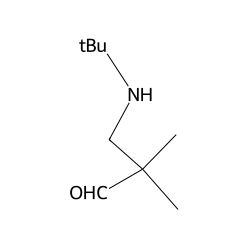 CC(C)(C=O)CNC(C)(C)C